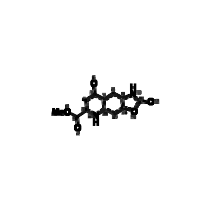 COC(=O)c1cc(=O)c2cc3[nH]c(=O)oc3cc2[nH]1